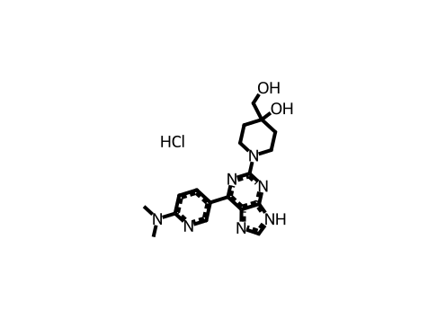 CN(C)c1ccc(-c2nc(N3CCC(O)(CO)CC3)nc3[nH]cnc23)cn1.Cl